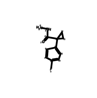 NNC(=O)C1(c2ccc(F)cc2)CC1